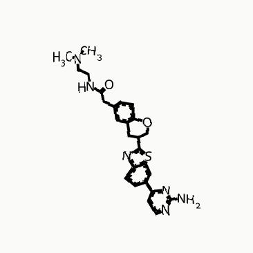 CN(C)CCNC(=O)Cc1ccc2c(c1)CC(c1nc3ccc(-c4ccnc(N)n4)cc3s1)CO2